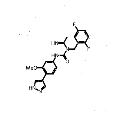 COc1cc(NC(=O)N(Cc2cc(F)ccc2F)C(C)=N)ccc1-c1cn[nH]c1